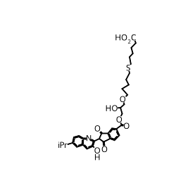 CC(C)c1ccc2nc(C3C(=O)c4ccc(C(=O)OCC(O)COCCCCCSCCCCCC(=O)O)cc4C3=O)c(O)cc2c1